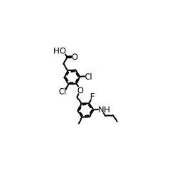 CCCNc1cc(C)cc(COc2c(Cl)cc(CC(=O)O)cc2Cl)c1F